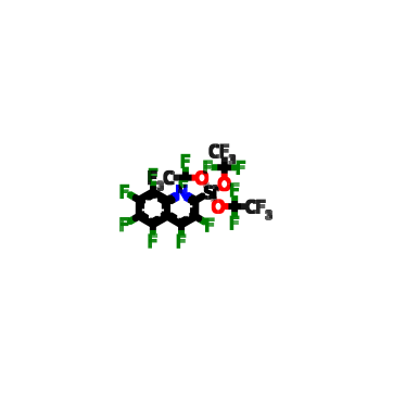 Fc1c(F)c(F)c2c(F)c(F)c([Si](OC(F)(F)C(F)(F)F)(OC(F)(F)C(F)(F)F)OC(F)(F)C(F)(F)F)nc2c1F